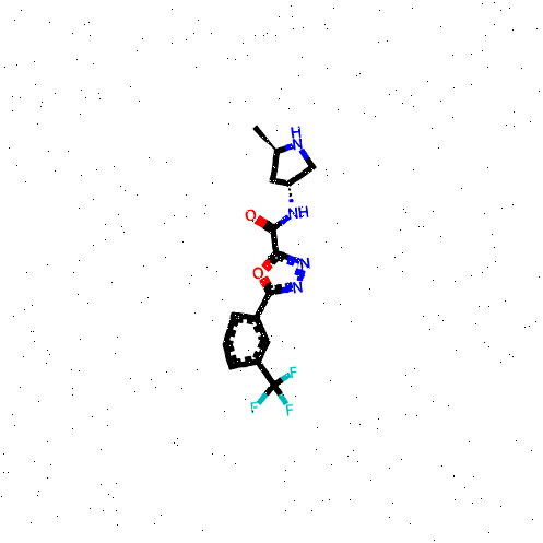 C[C@@H]1C[C@@H](NC(=O)c2nnc(-c3cccc(C(F)(F)F)c3)o2)CN1